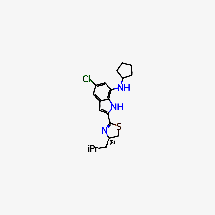 CC(C)C[C@@H]1CSC(c2cc3cc(Cl)cc(NC4CCCC4)c3[nH]2)=N1